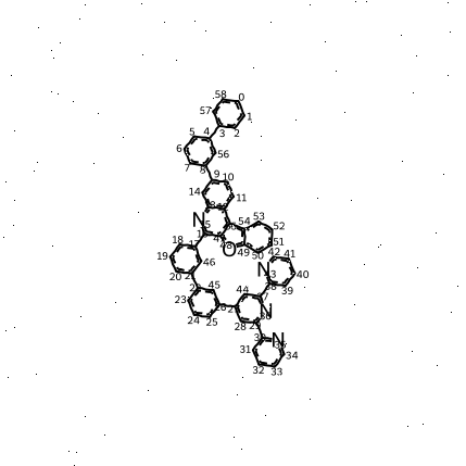 c1ccc(-c2cccc(-c3ccc4c(c3)nc(-c3cccc(-c5cccc(-c6cc(-c7ccccn7)nc(-c7ccccn7)c6)c5)c3)c3oc5ccccc5c34)c2)cc1